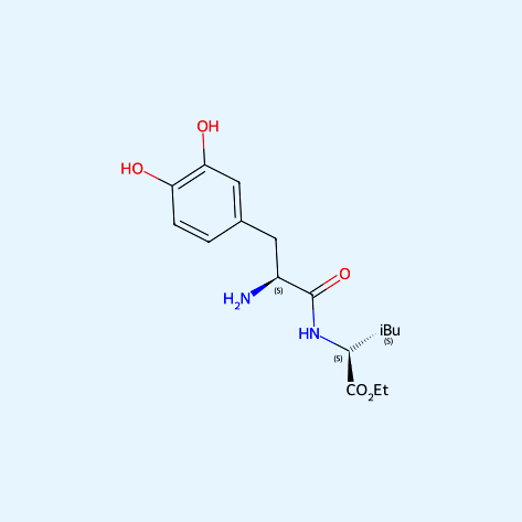 CCOC(=O)[C@@H](NC(=O)[C@@H](N)Cc1ccc(O)c(O)c1)[C@@H](C)CC